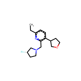 CCc1ccc(C2CCOC2)c(CN2CC[C@H](F)C2)n1